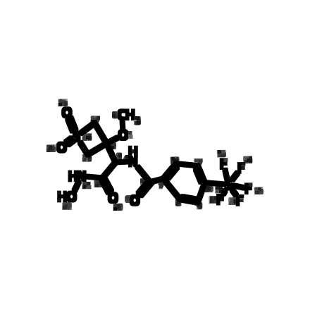 COC1(C(NC(=O)c2ccc(S(F)(F)(F)(F)F)cc2)C(=O)NO)CS(=O)(=O)C1